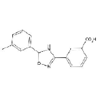 Cc1cccc(C2NC(c3cccc(C(=O)O)c3)=NO2)c1